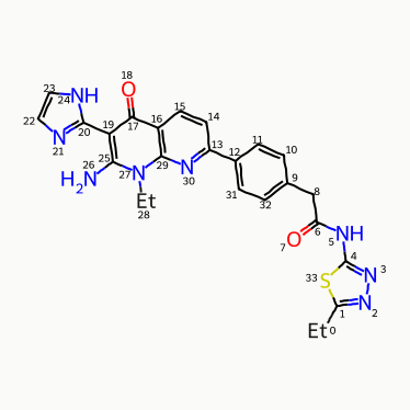 CCc1nnc(NC(=O)Cc2ccc(-c3ccc4c(=O)c(-c5ncc[nH]5)c(N)n(CC)c4n3)cc2)s1